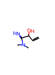 C=CC(O)C(=N)N(C)C